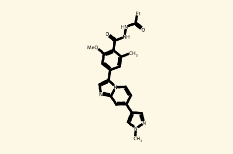 CCC(=O)NNC(=O)c1c(C)cc(-c2cnc3cc(-c4cnn(C)c4)ccn23)cc1OC